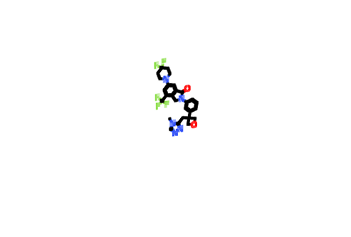 Cn1cnnc1CC1(c2cccc(N3Cc4c(cc(N5CCC(F)(F)CC5)cc4C(F)(F)F)C3=O)c2)COC1